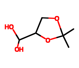 CC1(C)OCC(C(O)O)O1